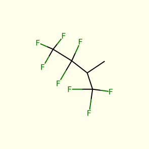 CC(C(F)(F)F)C(F)(F)C(F)(F)F